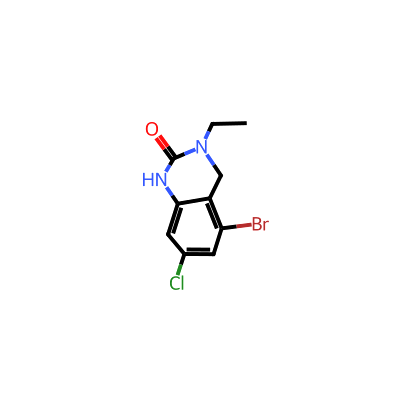 CCN1Cc2c(Br)cc(Cl)cc2NC1=O